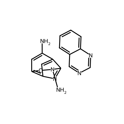 Nc1cc2c3cc1C(=N3)N(N)C2.c1ccc2ncncc2c1